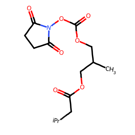 CC(C)CC(=O)OCC(C)COC(=O)ON1C(=O)CCC1=O